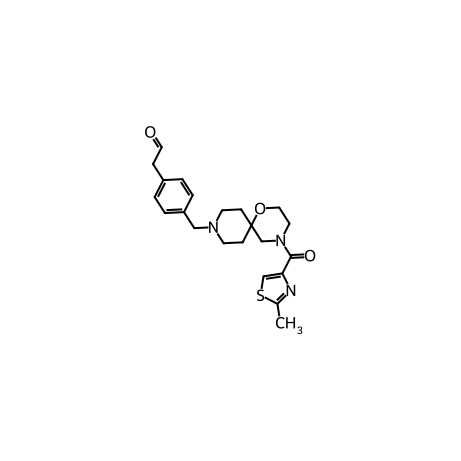 Cc1nc(C(=O)N2CCOC3(CCN(Cc4ccc(CC=O)cc4)CC3)C2)cs1